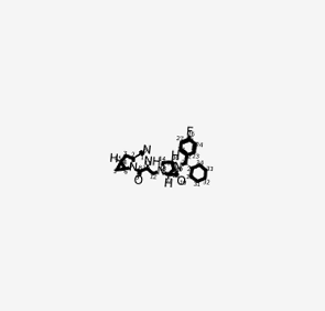 N#C[C@@H]1C[C@@H]2CC2N1C(=O)[C@@H](N)CN1C[C@@H]2C[C@H]1C(=O)N2[C@H](c1ccc(F)cc1)C1CCCCC1